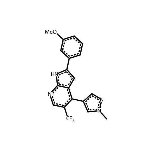 COc1cccc(-c2cc3c(-c4cnn(C)c4)c(C(F)(F)F)cnc3[nH]2)c1